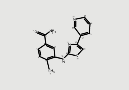 Cc1ccc(C(N)=O)cc1Nc1nc(-c2cccnc2)cs1